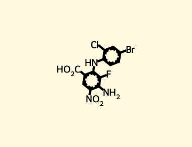 Nc1c([N+](=O)[O-])cc(C(=O)O)c(Nc2ccc(Br)cc2Cl)c1F